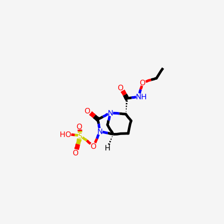 CCONC(=O)[C@@H]1CC[C@@H]2CN1C(=O)N2OS(=O)(=O)O